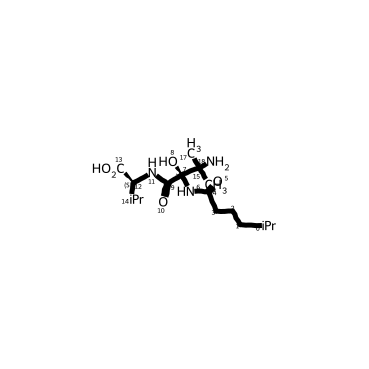 CC(C)CCCC(=O)N[C@](O)(C(=O)N[C@H](C(=O)O)C(C)C)C(C)(C)N